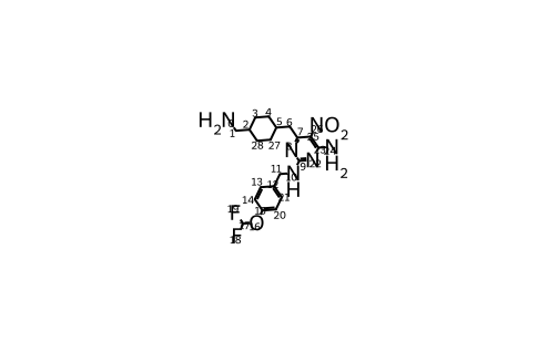 NCC1CCC(Cc2nc(NCc3ccc(OC(F)F)cc3)nc(N)c2[N+](=O)[O-])CC1